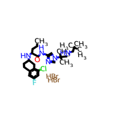 Br.Br.CCCC(NC1CCc2cc(F)cc(Cl)c2C1)C(=O)Nc1cn(C(C)(C)CNCC(C)(C)C)cn1